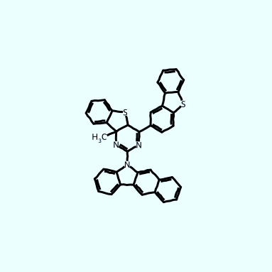 CC12N=C(n3c4ccccc4c4cc5ccccc5cc43)N=C(c3ccc4sc5ccccc5c4c3)C1Sc1ccccc12